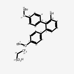 CC(C)(C)Oc1ccc(-c2cccc(S)c2-c2ccc(OC(C)(C)C)cc2)cc1.O=S(=O)(O)CC(F)(F)F